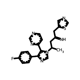 CC(CC(=N)Cc1cncs1)n1cnc(-c2ccc(F)cc2)c1-c1ccncn1